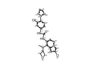 CN(c1c(NC(=O)Nc2cnc(-n3nccn3)c(Cl)c2)cnn2cc(Cl)nc12)C1COC1